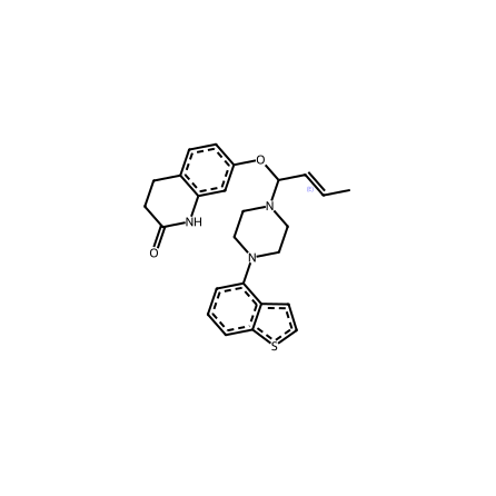 C/C=C/C(Oc1ccc2c(c1)NC(=O)CC2)N1CCN(c2cccc3sccc23)CC1